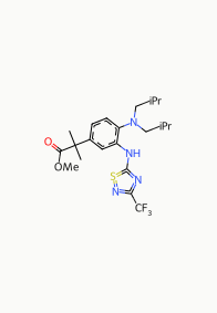 COC(=O)C(C)(C)c1ccc(N(CC(C)C)CC(C)C)c(Nc2nc(C(F)(F)F)ns2)c1